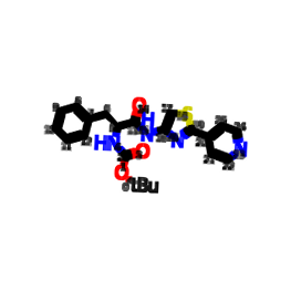 CC(C)(C)OC(=O)N[C@@H](Cc1ccccc1)C(=O)Nc1csc(-c2ccncc2)n1